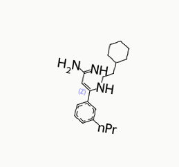 CCCc1cccc(/C(=C/C(=N)N)NCCC2CCCCC2)c1